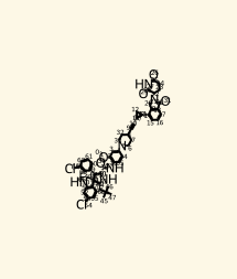 COc1cc(N2CCC(C#C[C@@H]3C[C@H]3c3cccc4c3CN(C3CCC(=O)NC3=O)C4=O)CC2)ccc1NC(=O)[C@@H]1N[C@@H](CC(C)(C)C)[C@@]2(CNc3cc(Cl)ccc32)[C@H]1c1cccc(Cl)c1F